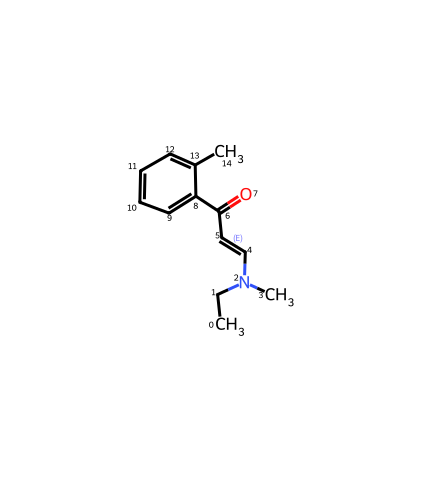 CCN(C)/C=C/C(=O)c1ccccc1C